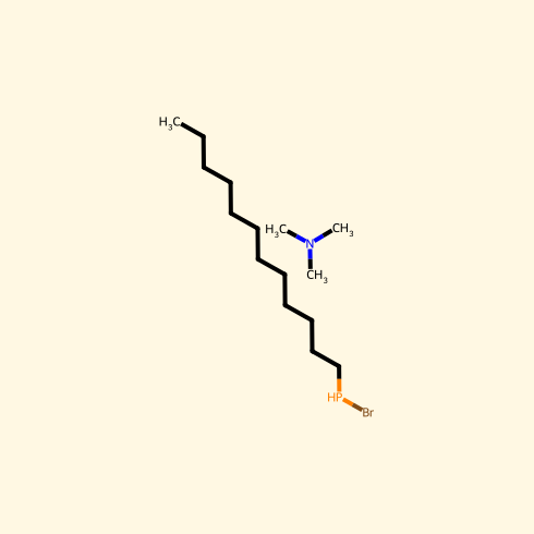 CCCCCCCCCCCCPBr.CN(C)C